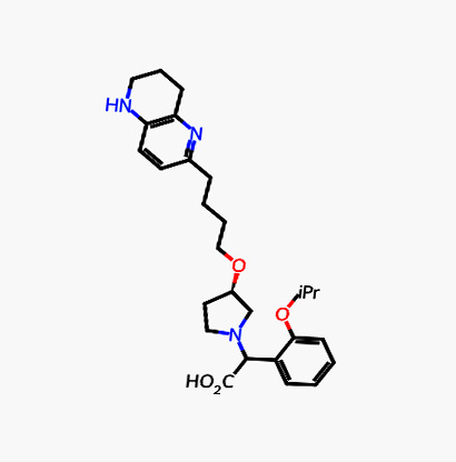 CC(C)Oc1ccccc1C(C(=O)O)N1CC[C@@H](OCCCCc2ccc3c(n2)CCCN3)C1